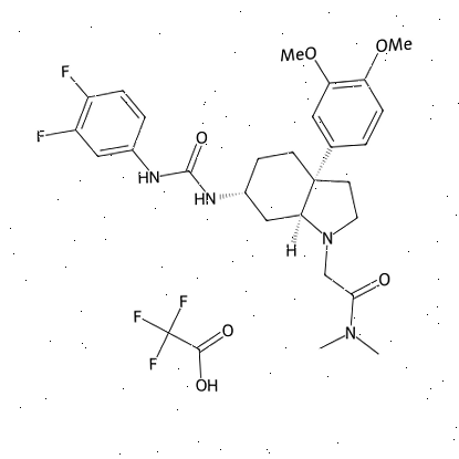 COc1ccc([C@@]23CC[C@@H](NC(=O)Nc4ccc(F)c(F)c4)C[C@@H]2N(CC(=O)N(C)C)CC3)cc1OC.O=C(O)C(F)(F)F